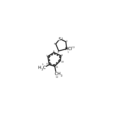 C1CCSC1.Cc1ccccc1C.Cl